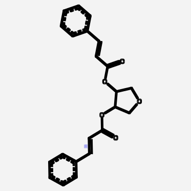 O=C(C=Cc1ccccc1)OC1COCC1OC(=O)/C=C/c1ccccc1